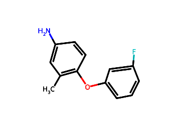 Cc1cc(N)ccc1Oc1cccc(F)c1